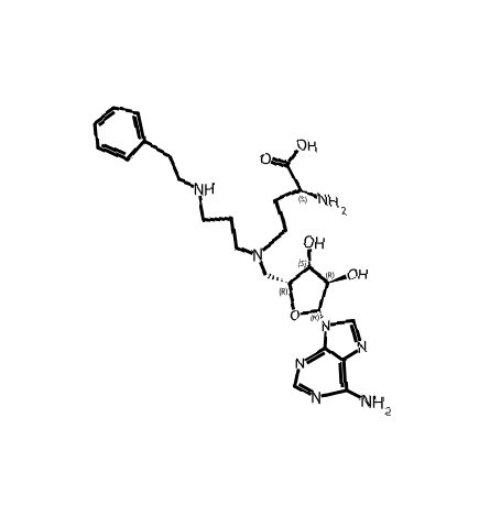 Nc1ncnc2c1ncn2[C@@H]1O[C@H](CN(CCCNCCc2ccccc2)CC[C@H](N)C(=O)O)[C@@H](O)[C@H]1O